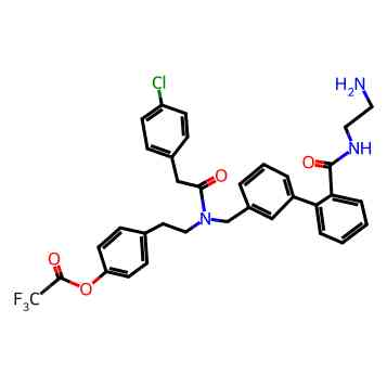 NCCNC(=O)c1ccccc1-c1cccc(CN(CCc2ccc(OC(=O)C(F)(F)F)cc2)C(=O)Cc2ccc(Cl)cc2)c1